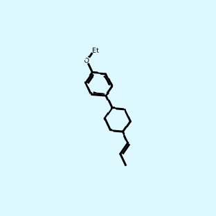 C/C=C/C1CCC(c2ccc(OCC)cc2)CC1